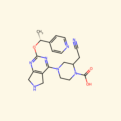 C[C@@H](Oc1nc2c(c(N3CCN(C(=O)O)C(CC#N)C3)n1)CNC2)c1ccncc1